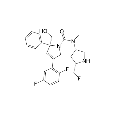 CN(C(=O)N1CC(c2cc(F)ccc2F)=C[C@@]1(CO)c1ccccc1)[C@@H]1CN[C@H](CF)C1